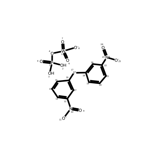 O=P(O)(O)[O][W](=[O])(=[O])[O-].O=[N+]([O-])c1cccc([I+]c2cccc([N+](=O)[O-])c2)c1